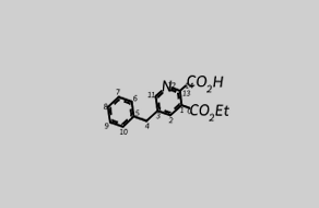 CCOC(=O)c1cc(Cc2ccccc2)cnc1C(=O)O